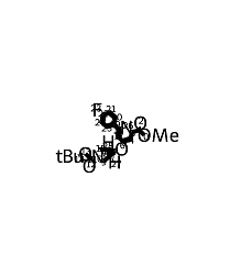 COC(=O)c1cc(OC2[C@H]3CN(C(=O)OC(C)(C)C)C[C@@H]23)cc(-c2ccc(F)cc2)n1